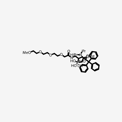 COCCOCCOCCOCC(=O)NCC(CC(OC)(OC)C(c1ccccc1)(c1ccccc1)c1ccccc1)P(O)(O)(O)CC(C#N)N(C(C)C)C(C)C